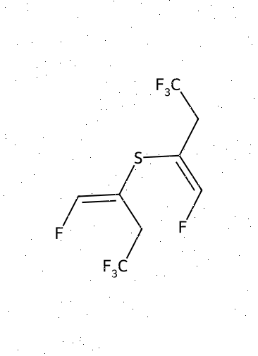 FC=C(CC(F)(F)F)SC(=CF)CC(F)(F)F